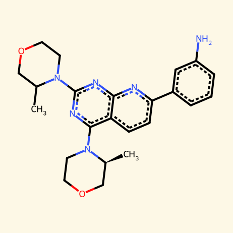 CC1COCCN1c1nc(N2CCOC[C@@H]2C)c2ccc(-c3cccc(N)c3)nc2n1